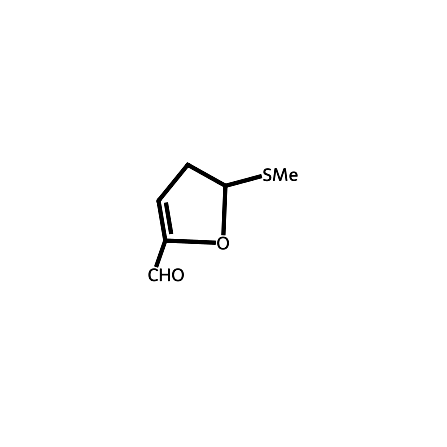 CSC1CC=C(C=O)O1